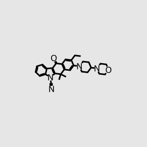 CCc1cc2c(cc1N1CCC(N3CCOCC3)CC1)C(C)(C)c1c(c3ccccc3n1C#N)C2=O